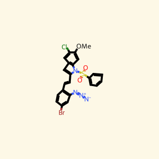 COc1cc2c(cc1Cl)cc(C=Cc1ccc(Br)cc1N=[N+]=[N-])n2S(=O)(=O)c1ccccc1